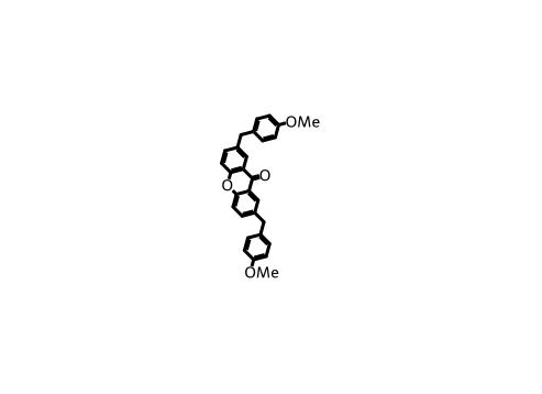 COc1ccc(Cc2ccc3oc4ccc(Cc5ccc(OC)cc5)cc4c(=O)c3c2)cc1